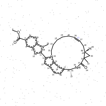 COC(=O)c1cnc2c(c1)nc(-c1cc3ccc4nc3n1CCCCC/C=C\C[C@@H]1CC1(C)C(=O)N[C@@H]4C)n2C